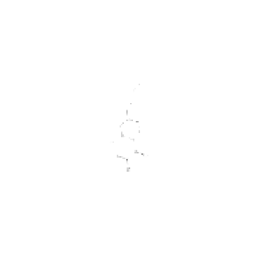 C=CCOc1ccc(C(=O)C(=C)CC)c(Cl)c1Cl